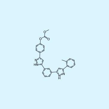 COC(=O)Oc1ccc(-c2cc(-c3cccc(-c4cc(-c5ccccc5C)n[nH]4)c3)[nH]n2)cc1